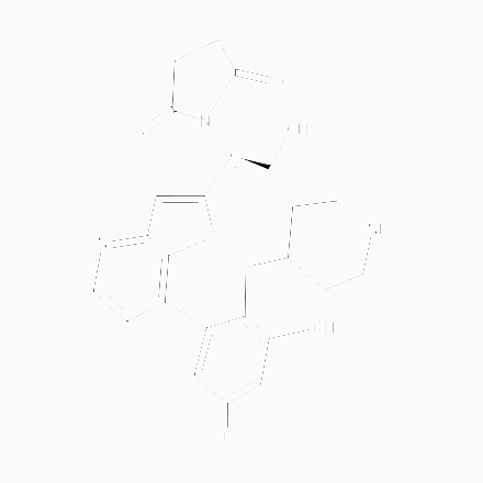 CC[C@@H](c1cc2nccc(-c3cc(Cl)cc(C)c3OC3CCNCC3)c2s1)N1C(=O)CCC1=O